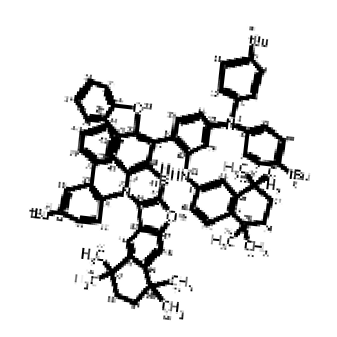 CC(C)(C)c1ccc(N(c2ccc(C(C)(C)C)cc2)c2ccc(-c3c4c(cc5c3oc3ccccc35)N(c3ccc(C(C)(C)C)cc3-c3ccccc3)c3c(oc5cc6c(cc35)C(C)(C)CCC6(C)C)B4)c(Nc3ccc4c(c3)C(C)(C)CCC4(C)C)c2)cc1